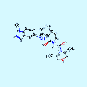 C[C@@H]1COC[C@H](C)N1C(=O)Cn1ccc2cccc(Nc3ccc4c(cnn4C)c3)c2c1=O